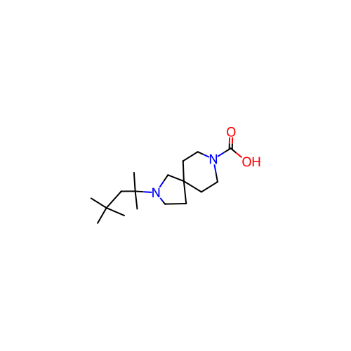 CC(C)(C)CC(C)(C)N1CCC2(CCN(C(=O)O)CC2)C1